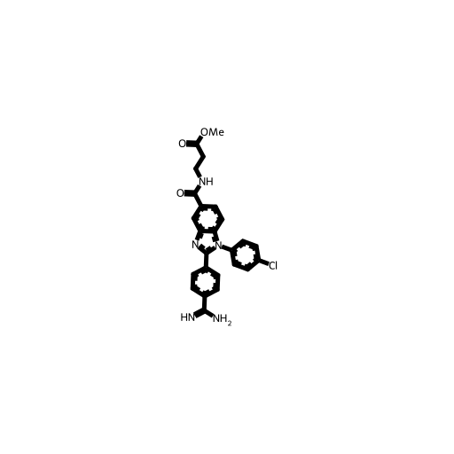 COC(=O)CCNC(=O)c1ccc2c(c1)nc(-c1ccc(C(=N)N)cc1)n2-c1ccc(Cl)cc1